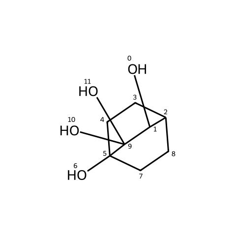 OC1C2CCC(O)(CC2)C1(O)O